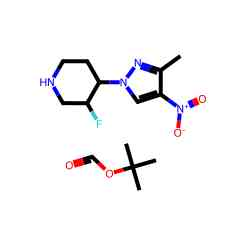 CC(C)(C)OC=O.Cc1nn(C2CCNCC2F)cc1[N+](=O)[O-]